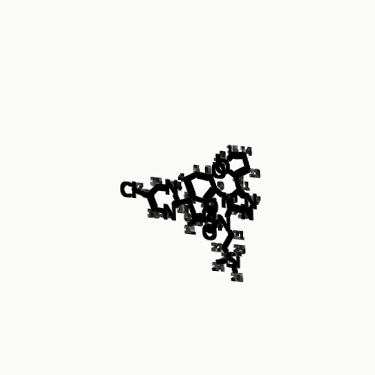 COc1cccc(OC)c1-n1c(-c2ccco2)nnc1N(CC[Si](C)(C)C)S(=O)(=O)C(C)Cc1ncc(Cl)cn1